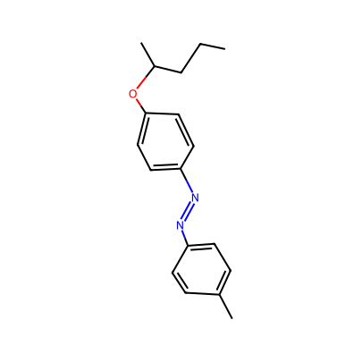 CCCC(C)Oc1ccc(N=Nc2ccc(C)cc2)cc1